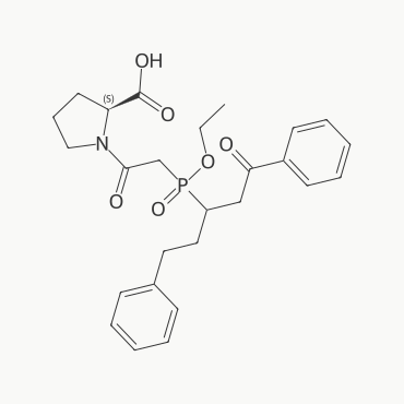 CCOP(=O)(CC(=O)N1CCC[C@H]1C(=O)O)C(CCc1ccccc1)CC(=O)c1ccccc1